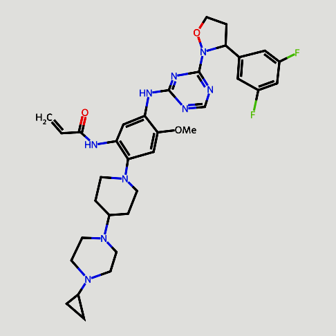 C=CC(=O)Nc1cc(Nc2ncnc(N3OCCC3c3cc(F)cc(F)c3)n2)c(OC)cc1N1CCC(N2CCN(C3CC3)CC2)CC1